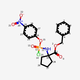 O=C(OCc1ccccc1)C1(NP(=O)(Cl)Oc2ccc([N+](=O)[O-])cc2)CCCC1